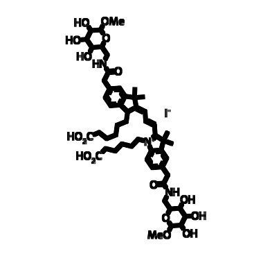 COC1OC(CNC(=O)Cc2ccc3c(c2)C(C)(C)C(=CC=CC2=[N+](CCCCCC(=O)O)c4ccc(CC(=O)NCC5OC(OC)C(O)C(O)C5O)cc4C2(C)C)C3CCCCCC(=O)O)C(O)C(O)C1O.[I-]